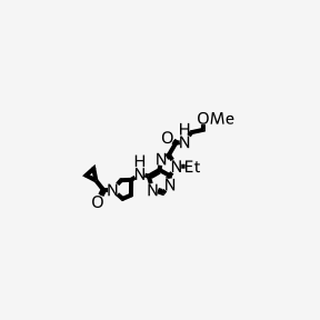 CCn1c(C(=O)NCCOC)nc2c(NC3CCN(C(=O)C4CC4)C3)ncnc21